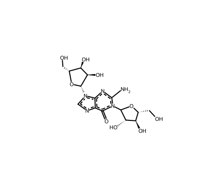 Nc1nc2c(ncn2[C@@H]2O[C@H](CO)[C@@H](O)[C@H]2O)c(=O)n1C1O[C@H](CO)[C@@H](O)[C@@H]1O